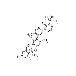 BC(B)(Oc1cc(C)n(-c2cc(-n3cccc(C(C)(C)O)c3=O)ncc2C)c(=O)c1Cl)c1ncc(F)cc1Cl